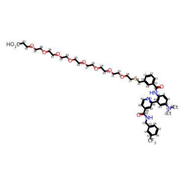 CCN(CC)c1ccc(NC(=O)c2cccc(CSCCOCCOCCOCCOCCOCCOCCOCCOCCC(=O)O)c2)c(-c2cc(C(=O)NCc3cccc(C(F)(F)F)c3)ccn2)c1